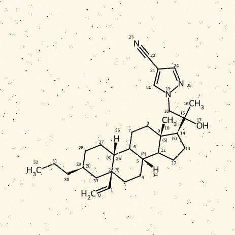 C=C[C@]12CC[C@@H]3C(CC[C@@]4(C)C3CC[C@@H]4C(C)(O)Cn3cc(C#N)cn3)[C@H]1CC[C@H](CCC)C2